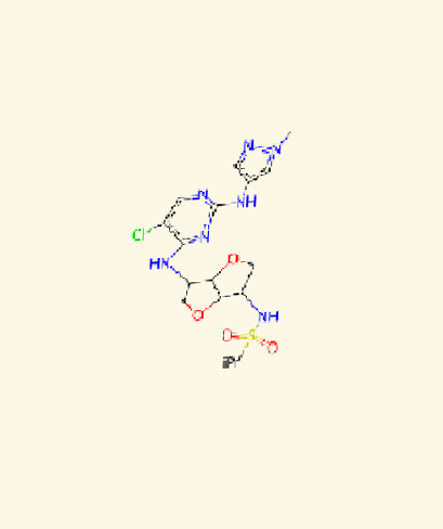 CC(C)S(=O)(=O)NC1COC2C(Nc3nc(Nc4cnn(C)c4)ncc3Cl)COC12